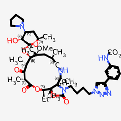 CC[C@H]1OC(=O)[C@H](C)C(=O)[C@H](C)[C@@H](O[C@@H]2O[C@H](C)C[C@H](N3CCCC3)[C@H]2O)[C@](C)(OC)C[C@@H](C)CN[C@H](C)[C@H]2N(CCCCn3cc(-c4cccc(NC(=O)O)c4)nn3)C(=O)O[C@]12C